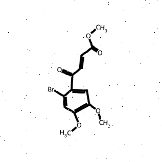 COC(=O)/C=C/C(=O)c1cc(OC)c(OC)cc1Br